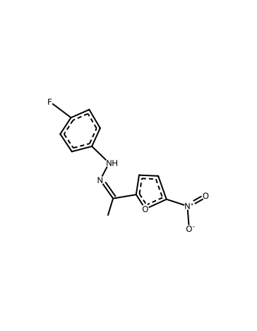 CC(=NNc1ccc(F)cc1)c1ccc([N+](=O)[O-])o1